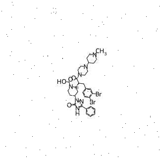 CN1CCC(N2CCN(C(=O)C(Cc3ccc(Br)c(Br)c3)[C@H]3CC(n4nc(-c5ccccc5)[nH]c4=O)CCN3C(=O)O)CC2)CC1